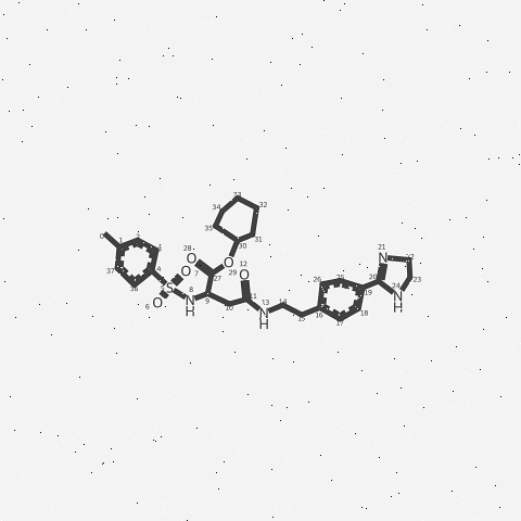 Cc1ccc(S(=O)(=O)NC(CC(=O)NCCc2ccc(C3=NCCN3)cc2)C(=O)OC2CCCCC2)cc1